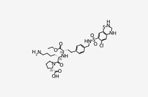 CCOC(=O)[C@H](CCc1ccc(CNS(=O)(=O)c2cc3c(cc2Cl)NCNS3)cc1)N[C@@H](CCCCN)C(=O)N1CCC[C@H]1C(=O)O